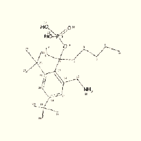 CCCCCC(CC)(OP(=O)(O)O)c1c(CN)cc(C(C)(C)C)cc1C(C)(C)C